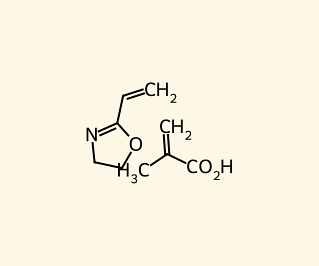 C=C(C)C(=O)O.C=CC1=NCCO1